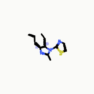 C=C/C=c1/nc(C)n(-c2nccs2)/c1=C/C